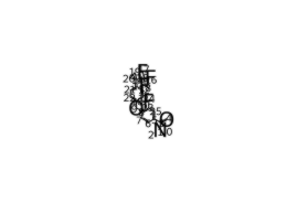 CN(C)C(=O)c1ccc(Oc2ccc(C3(C(F)(F)F)CC3)cc2)c(F)c1